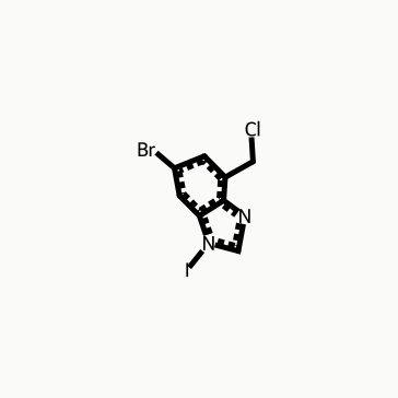 ClCc1cc(Br)cc2c1ncn2I